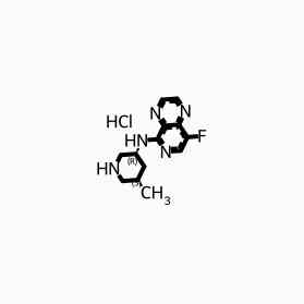 C[C@@H]1CNC[C@H](Nc2ncc(F)c3nccnc23)C1.Cl